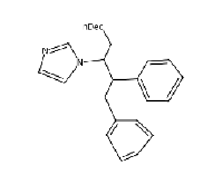 CCCCCCCCCCCC(C(Cc1ccccc1)c1ccccc1)n1ccnc1